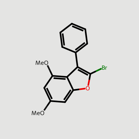 COc1cc(OC)c2c(-c3ccccc3)c(Br)oc2c1